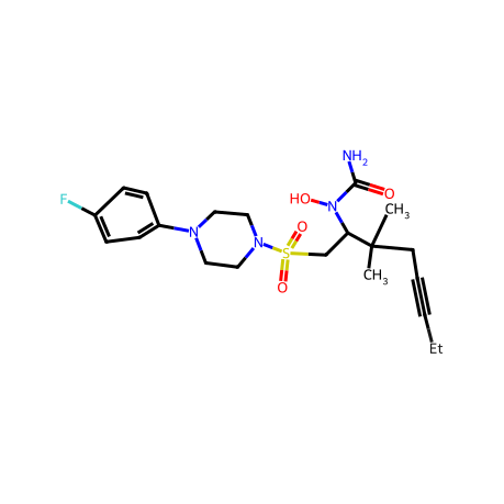 CCC#CCC(C)(C)C(CS(=O)(=O)N1CCN(c2ccc(F)cc2)CC1)N(O)C(N)=O